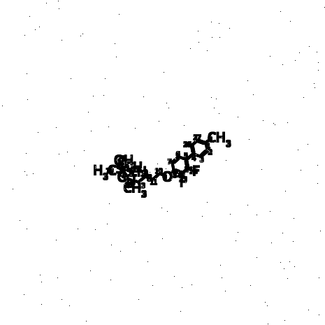 Cc1ccc(-c2ccc(OCCCC[Si](C)(C)O[Si](C)(C)O)c(F)c2F)cc1